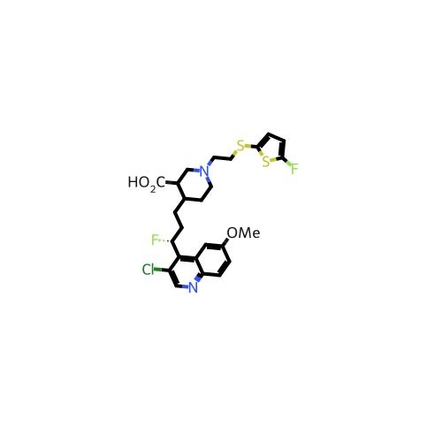 COc1ccc2ncc(Cl)c([C@H](F)CCC3CCN(CCSc4ccc(F)s4)CC3C(=O)O)c2c1